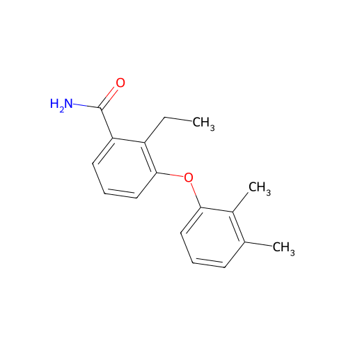 CCc1c(Oc2cccc(C)c2C)cccc1C(N)=O